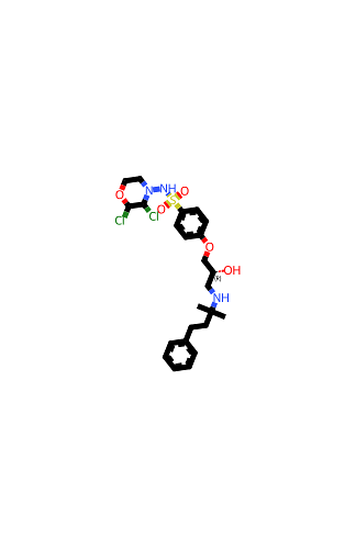 CC(C)(CCc1ccccc1)NC[C@@H](O)COc1ccc(S(=O)(=O)NN2CCOC(Cl)C2Cl)cc1